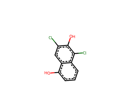 Oc1c(Cl)cc2c(O)cccc2c1Cl